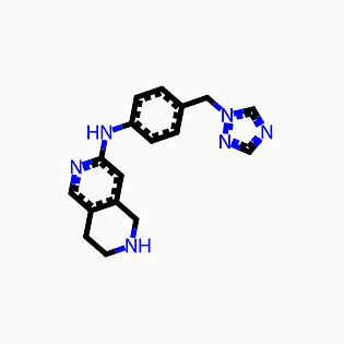 c1ncn(Cc2ccc(Nc3cc4c(cn3)CCNC4)cc2)n1